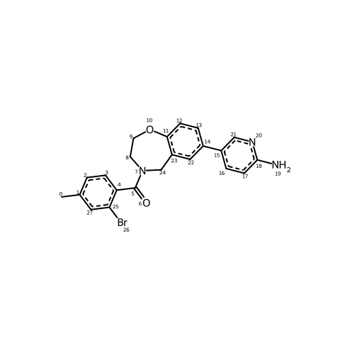 Cc1ccc(C(=O)N2CCOc3ccc(-c4ccc(N)nc4)cc3C2)c(Br)c1